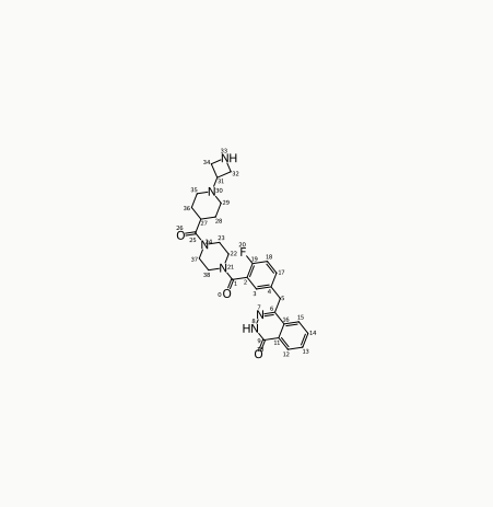 O=C(c1cc(Cc2n[nH]c(=O)c3ccccc23)ccc1F)N1CCN(C(=O)C2CCN(C3CNC3)CC2)CC1